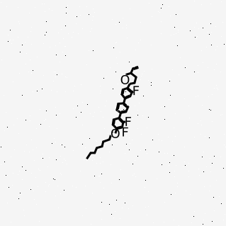 C=CC1CCC(c2ccc(-c3ccc(-c4ccc(OCCCCCCCC)c(F)c4F)cc3)cc2F)OC1